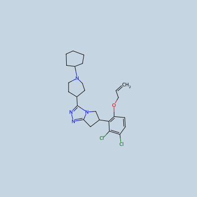 C=CCOc1ccc(Cl)c(Cl)c1C1Cc2nnc(C3CCN(C4CCCCC4)CC3)n2C1